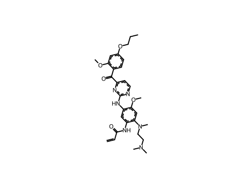 C=CC(=O)Nc1cc(Nc2nccc(C(=O)c3ccc(OCCC)cc3OC)n2)c(OC)cc1N(C)CCN(C)C